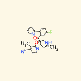 Cc1c(C#N)ccnc1O[C@]1(C(=O)c2cc(F)ccc2-c2ccccn2)CC[C@@H](C)NC1